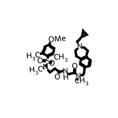 COc1cc(C)c(S(=O)(=O)N(C)CCC(=O)NCC(=O)N(C)Cc2ccc3c(c2)CCN(CC2CC2)CC3)c(C)c1